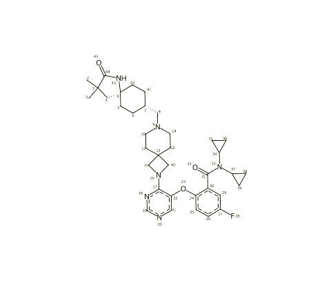 CC1(C)C[C@]2(CC[C@@H](CN3CCC4(CC3)CN(c3ncncc3Oc3ccc(F)cc3C(=O)N(C3CC3)C3CC3)C4)CC2)NC1=O